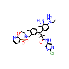 CCN(N)c1ccc([C@H](c2ccc(C)c(CN3CCOc4ncccc4S3(=O)=O)c2)C(C)(C)C(=O)Nc2cnc(Cl)nc2)c(C)c1N